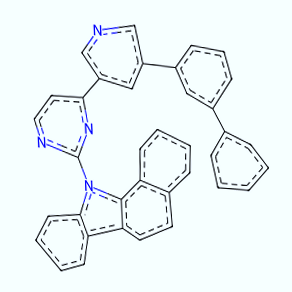 c1ccc(-c2cccc(-c3cncc(-c4ccnc(-n5c6ccccc6c6ccc7ccccc7c65)n4)c3)c2)cc1